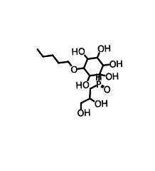 CCCCCOC1C(O)C(O)C(O)C(O)([PH](=O)CC(O)CO)C1O